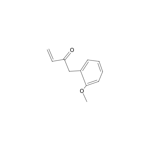 C=CC(=O)Cc1ccccc1OC